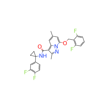 Cc1cc(OCc2c(F)cccc2F)n2nc(C)c(C(=O)NC3(c4ccc(F)c(F)c4)CC3)c2c1